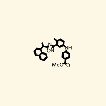 COC(=O)c1ccc(Nc2ccc(C)c(-c3noc(C(C)c4cccc5ccccc45)n3)c2)cc1